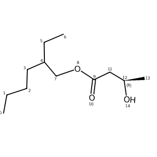 CCCCC(CC)COC(=O)C[C@@H](C)O